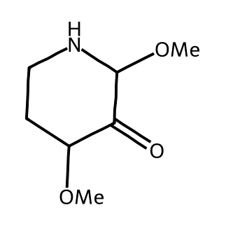 COC1CCNC(OC)C1=O